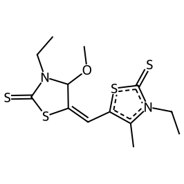 CCN1C(=S)S/C(=C/c2sc(=S)n(CC)c2C)C1OC